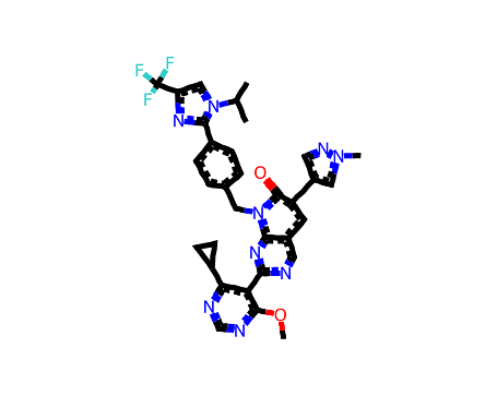 COc1ncnc(C2CC2)c1-c1ncc2cc(-c3cnn(C)c3)c(=O)n(Cc3ccc(-c4nc(C(F)(F)F)cn4C(C)C)cc3)c2n1